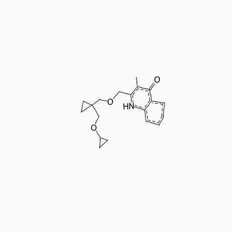 Cc1c(COCC2(COC3CC3)CC2)[nH]c2ccccc2c1=O